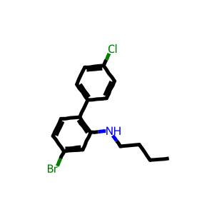 CCCCNc1cc(Br)ccc1-c1ccc(Cl)cc1